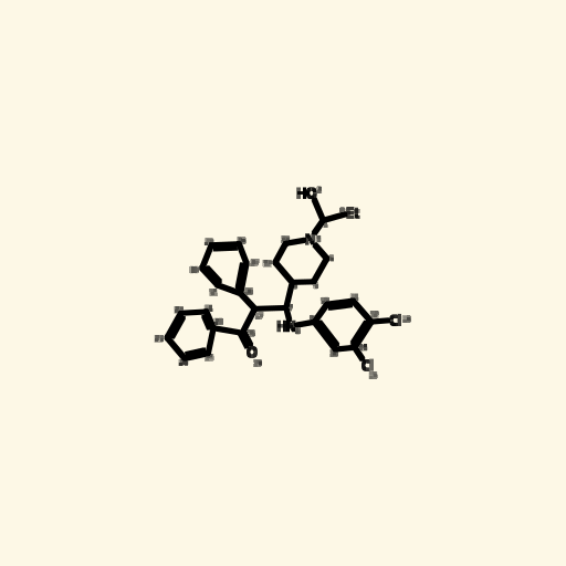 CCC(O)N1CCC(C(Nc2ccc(Cl)c(Cl)c2)C(C(=O)c2ccccc2)c2ccccc2)CC1